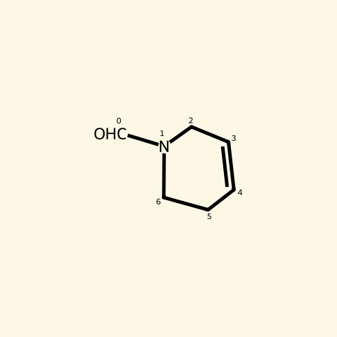 O=CN1CC=CCC1